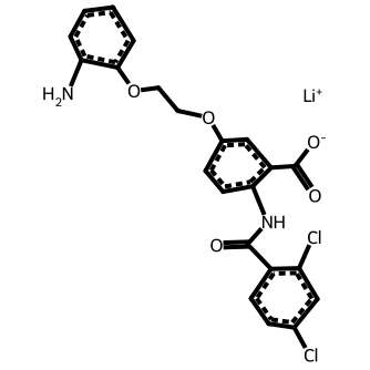 Nc1ccccc1OCCOc1ccc(NC(=O)c2ccc(Cl)cc2Cl)c(C(=O)[O-])c1.[Li+]